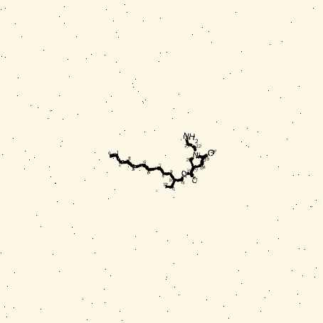 CCCCCCCCCCC(CC)COC(=O)C1CC(=O)N(CCN)C1